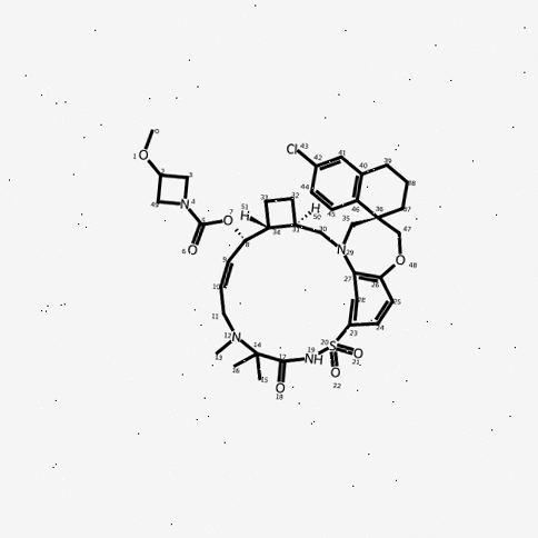 COC1CN(C(=O)O[C@H]2C=CCN(C)C(C)(C)C(=O)NS(=O)(=O)c3ccc4c(c3)N(C[C@@H]3CC[C@H]32)C[C@@]2(CCCc3cc(Cl)ccc32)CO4)C1